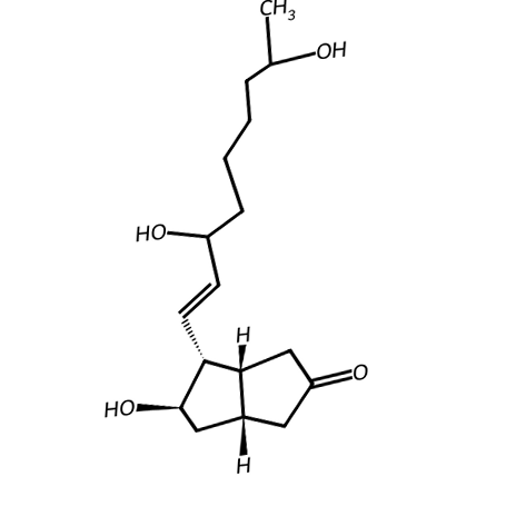 CC(O)CCCCC(O)C=C[C@@H]1[C@@H]2CC(=O)C[C@@H]2C[C@H]1O